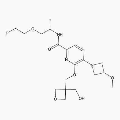 COC1CN(c2ccc(C(=O)N[C@@H](C)COCCF)nc2OCC2(CO)COC2)C1